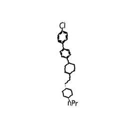 CCC[C@H]1CC[C@H](CCC2CCC(c3ccc(-c4ccc(Cl)cc4)cc3)CC2)CC1